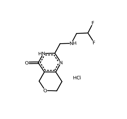 Cl.O=c1[nH]c(CNCC(F)F)nc2c1COCC2